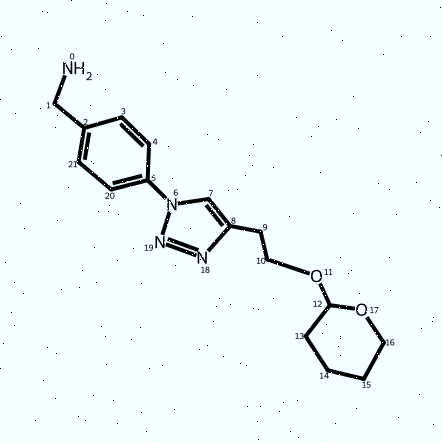 NCc1ccc(-n2cc(CCOC3CCCCO3)nn2)cc1